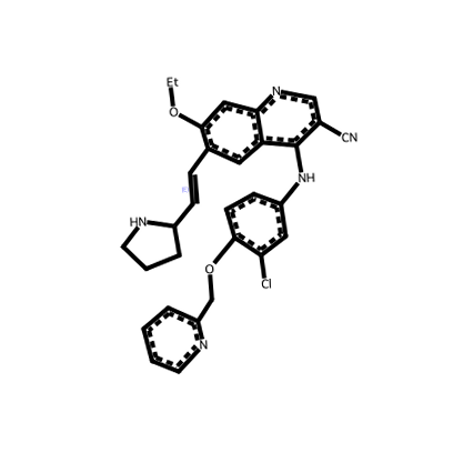 CCOc1cc2ncc(C#N)c(Nc3ccc(OCc4ccccn4)c(Cl)c3)c2cc1/C=C/C1CCCN1